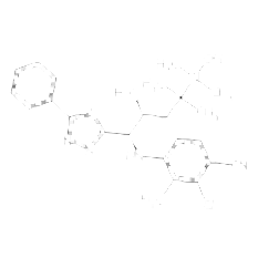 Cc1c(N[C@@H](c2nnc(-c3ccccc3)s2)[C@@H](C)CC(C)(C)[Si](C)(C)O)ccc(C#N)c1Cl